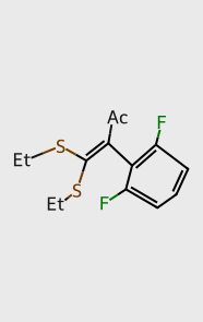 CCSC(SCC)=C(C(C)=O)c1c(F)cccc1F